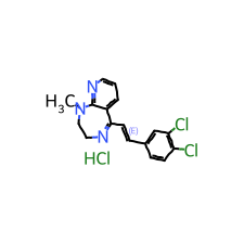 CN1CCN=C(/C=C/c2ccc(Cl)c(Cl)c2)c2cccnc21.Cl